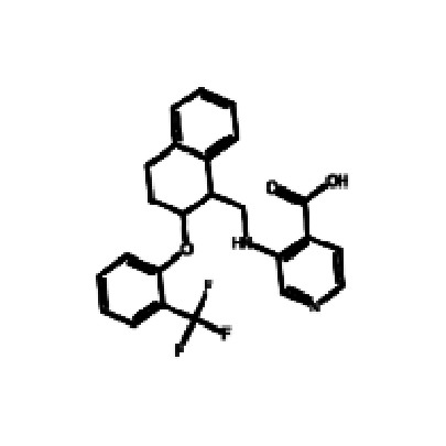 O=C(O)c1ccncc1NCC1c2ccccc2CCC1Oc1ccccc1C(F)(F)F